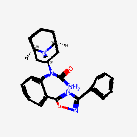 CN1[C@@H]2CCC[C@H]1C[C@@H](N(C(N)=O)c1ccccc1-c1nc(-c3ccccc3)no1)C2